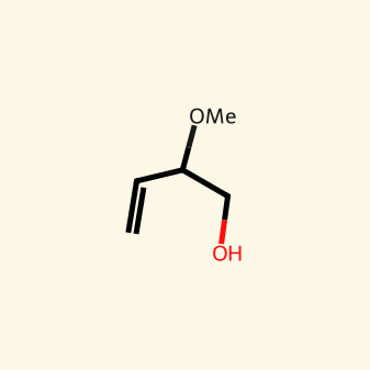 C=CC(CO)OC